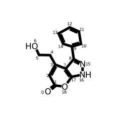 O=c1cc(CCO)c2c(-c3ccccc3)n[nH]c2o1